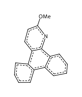 COc1ccc2c3ccccc3c3ccccc3c2n1